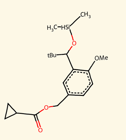 COc1ccc(COC(=O)C2CC2)cc1C(O[SiH](C)C)C(C)(C)C